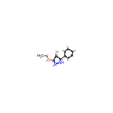 CCOc1n[nH]c(-c2ccccc2)c1I